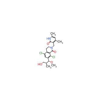 COC(c1cc(Cl)c2c(c1Cl)C(=O)N(Cc1c(C)cc(C)[nH]c1=O)CC2)[C@@H](C)CO